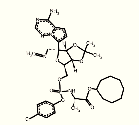 C=NC[C@@]1(c2ccc3c(N)ncnn23)O[C@H](COP(=O)(N[C@@H](C)C(=O)OC2CCCCCCC2)Oc2ccc(Cl)cc2)[C@H]2OC(C)(C)O[C@H]21